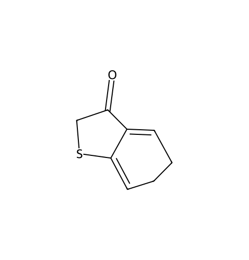 O=C1CSC2=CCCC=C12